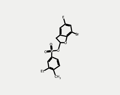 CCc1cc(S(=O)(=O)OC2Cc3cc(F)cc(Br)c3O2)ccc1C